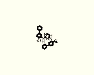 COc1ccc(-c2ccccc2)cc1Nc1ccnc(Nc2cc(-c3ccccc3)ccc2OC)n1